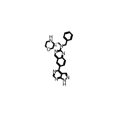 c1ccc(CN(C[C@@H]2COCCN2)c2ncc3cc(-c4ncnc5[nH]ncc45)ccc3n2)cc1